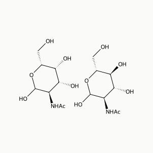 CC(=O)N[C@H]1C(O)O[C@H](CO)[C@@H](O)[C@@H]1O.CC(=O)N[C@H]1C(O)O[C@H](CO)[C@H](O)[C@@H]1O